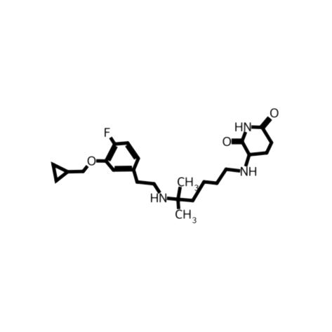 CC(C)(CCCCNC1CCC(=O)NC1=O)NCCc1ccc(F)c(OCC2CC2)c1